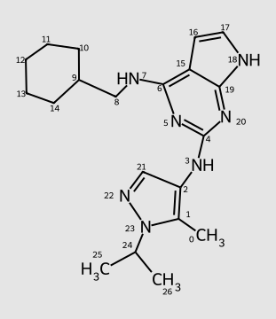 Cc1c(Nc2nc(NCC3CCCCC3)c3cc[nH]c3n2)cnn1C(C)C